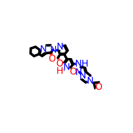 Cn1cc(-c2ccnc(N3CCn4c(cc5c4CCCC5)C3=O)c2CO)cc(Nc2cc3n(n2)CCN(C2COC2)C3)c1=O